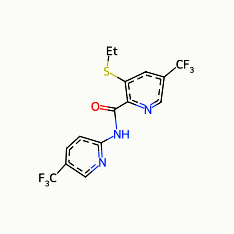 CCSc1cc(C(F)(F)F)cnc1C(=O)Nc1ccc(C(F)(F)F)cn1